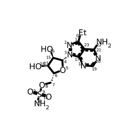 CCc1nn([C@@H]2O[C@H](COS(N)(=O)=O)[C@@H](O)[C@H]2O)c2ncnc(N)c12